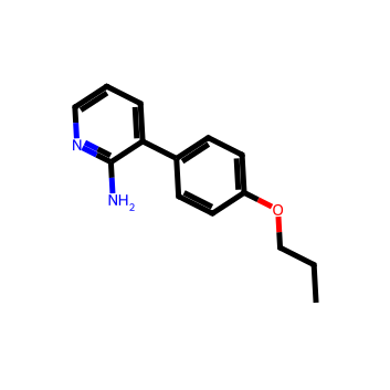 CCCOc1ccc(-c2cccnc2N)cc1